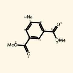 COC(=O)c1cccc(C(=O)OC)c1.[Na]